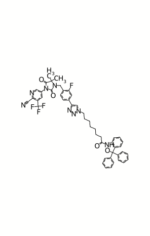 CC1(C)C(=O)N(c2cnc(C#N)c(C(F)(F)F)c2)C(=O)N1Cc1ccc(-c2cn(CCCCCCCC(=O)NOC(c3ccccc3)(c3ccccc3)c3ccccc3)nn2)cc1F